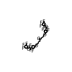 O=C(CCCCOc1cc(F)c(C(F)(F)Oc2cc(F)c(F)c(F)c2)c(F)c1)CCCCOc1cc(F)c(C(F)(F)Oc2cc(F)c(F)c(F)c2)c(F)c1